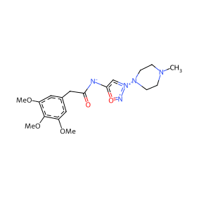 COc1cc(CC(=O)[N-]c2c[n+](N3CCN(C)CC3)no2)cc(OC)c1OC